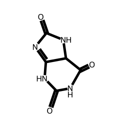 O=C1N=C2NC(=O)NC(=O)C2N1